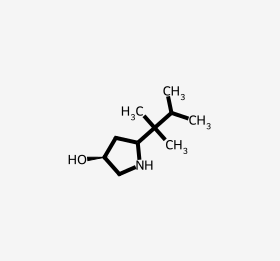 CC(C)C(C)(C)C1C[C@H](O)CN1